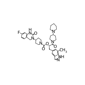 Cc1cc(C[C@@H](OC(=O)N2CCC(N3Cc4ccc(F)cc4NC3=O)CC2)C(=O)N2CCC(N3CCCCC3)CC2)cc2cn[nH]c12